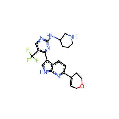 FC(F)(F)c1cnc(NC2CCCNC2)nc1-c1c[nH]c2nc(C3=CCOCC3)ccc12